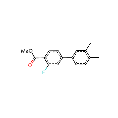 COC(=O)c1ccc(-c2ccc(C)c(C)c2)cc1F